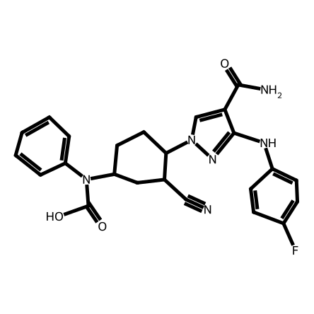 N#CC1CC(N(C(=O)O)c2ccccc2)CCC1n1cc(C(N)=O)c(Nc2ccc(F)cc2)n1